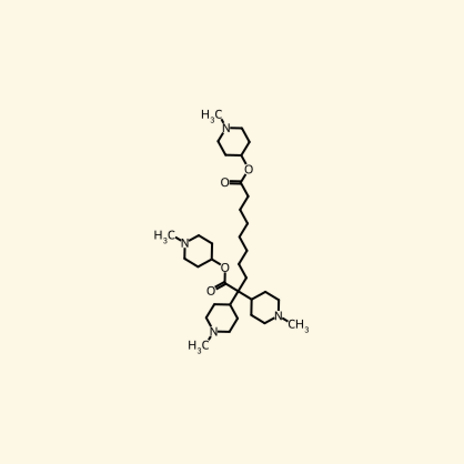 CN1CCC(OC(=O)CCCCCCCC(C(=O)OC2CCN(C)CC2)(C2CCN(C)CC2)C2CCN(C)CC2)CC1